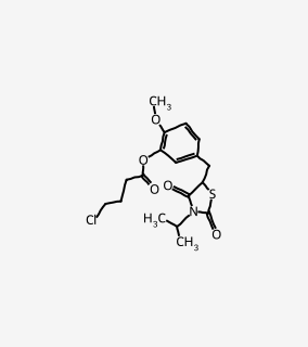 COc1ccc(CC2SC(=O)N(C(C)C)C2=O)cc1OC(=O)CCCCl